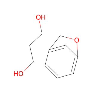 OCCCO.c1cc2cc(c1)OC2